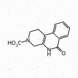 O=C(O)N1CCc2c([nH]c(=O)c3ccccc23)C1